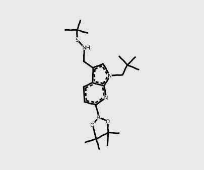 CC(C)(C)Cn1cc(CNSC(C)(C)C)c2ccc(B3OC(C)(C)C(C)(C)O3)nc21